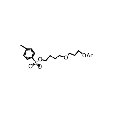 CC(=O)OCCCOCCCCOS(=O)(=O)c1ccc(C)cc1